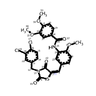 COc1ccc(/C=C2/SC(=O)N(Cc3ccc(Cl)c(Cl)c3)C2=O)cc1NC(=O)c1ccc(OC)c(OC)c1